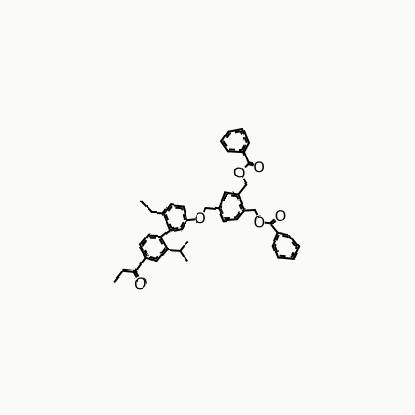 CCC(=O)c1ccc(-c2cc(OCc3ccc(COC(=O)c4ccccc4)c(COC(=O)c4ccccc4)c3)ccc2CC)c(C(C)C)c1